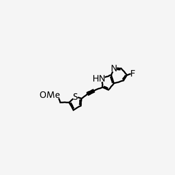 COCc1ccc(C#Cc2cc3cc(F)cnc3[nH]2)s1